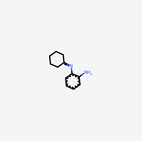 Nc1ccccc1N=C1CCCCC1